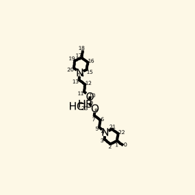 CC1CCN(CCCOBOCCCN2CCC(C)CC2)CC1.Cl